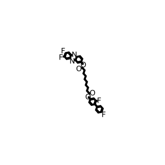 O=C(CCCCCCCCC(=O)Oc1ccc2nc3cc(F)c(F)cc3nc2c1)Oc1ccc(-c2ccc(F)cc2)c(F)c1